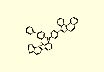 c1ccc(-c2ccc(N(c3ccc(-c4cc5ccc6ccccc6c5c5ccccc45)cc3)c3cccc4c3oc3c5ccccc5ccc43)cc2)cc1